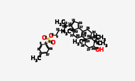 Cc1ccc(S(=O)(=O)OCCC[C@@H](C)[C@H]2CC=C3C4=C(CC[C@@]32C)[C@@]2(C)CCC(O)C(C)(C)[C@@H]2CC4)cc1